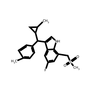 Cc1ccc(C(c2c[nH]c3c(CS(C)(=O)=O)cc(F)cc23)C2CC2C)cc1